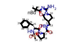 CCCCC(C)(C)C(=O)/N=C(/N)N1CCC(CNC(=O)[C@@H]2CCCN2C(=O)[C@@H](Cc2ccccc2)NS(C)(=O)=O)CC1